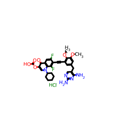 COc1cc(Cc2cnc(N)nc2N)cc(C#Cc2c(F)cc3c(=O)c(OC(=O)O)cn(C4CCCCC4)c3c2F)c1OC.Cl